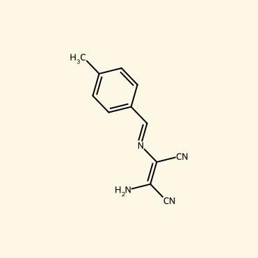 Cc1ccc(/C=N/C(C#N)=C(\N)C#N)cc1